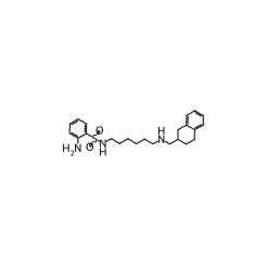 Nc1ccccc1S(=O)(=O)NCCCCCCNCC1CCc2ccccc2C1